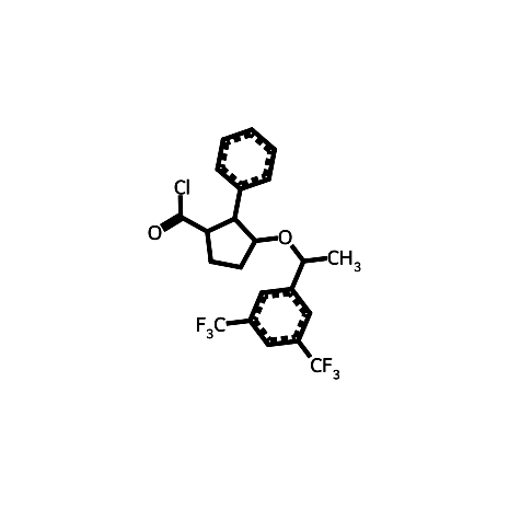 CC(OC1CCC(C(=O)Cl)C1c1ccccc1)c1cc(C(F)(F)F)cc(C(F)(F)F)c1